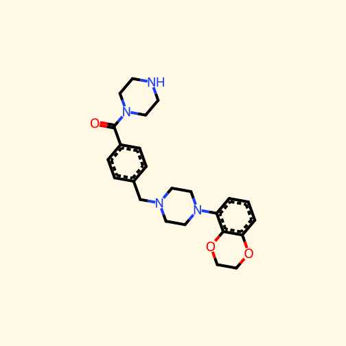 O=C(c1ccc(CN2CCN(c3cccc4c3OCCO4)CC2)cc1)N1CCNCC1